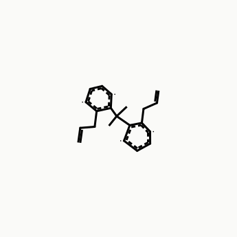 C=CCc1[c]cc[c]c1C(C)(C)c1[c]cc[c]c1CC=C